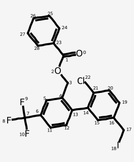 O=C(OCc1cc(C(F)(F)F)ccc1-c1cc(CI)ccc1Cl)c1ccccc1